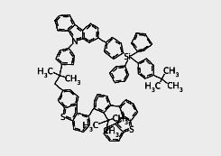 CC(C)(C)c1ccc([Si](c2ccccc2)(c2ccccc2)c2ccc(-c3ccc4c5ccccc5n(-c5ccc(C(C)(C)Cc6ccc7c(c6)sc6cccc(-c8cccc(-c9cccc%10sc%11ccccc%11c9%10)c8C(C)(C)C)c67)cc5)c4c3)cc2)cc1